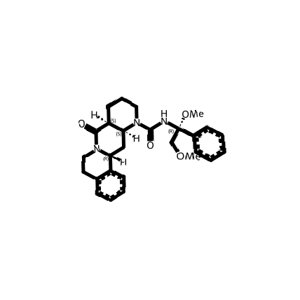 COC[C@](NC(=O)N1CCC[C@@H]2C(=O)N3CCc4ccccc4[C@H]3C[C@@H]21)(OC)c1ccccc1